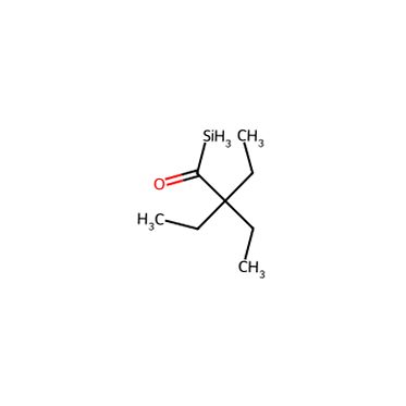 CCC(CC)(CC)C(=O)[SiH3]